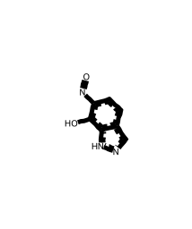 O=Nc1ccc2cn[nH]c2c1O